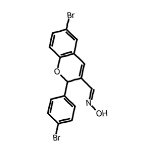 ON=CC1=Cc2cc(Br)ccc2OC1c1ccc(Br)cc1